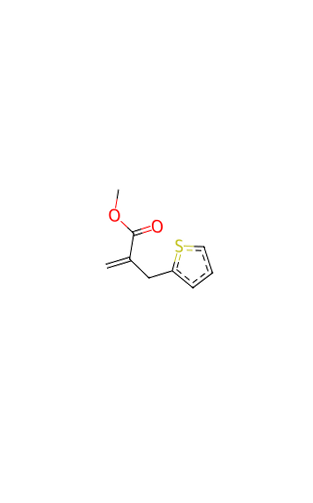 C=C(Cc1cccs1)C(=O)OC